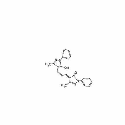 CC1=NN(c2ccccc2)C(=O)/C1=C/C=C\c1c(C)nn(-c2ccccc2)c1O